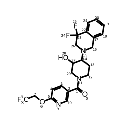 O=C(c1ccc(OCC(F)(F)F)nc1)N1CCC(N2Cc3ccccc3C(F)(F)C2)C(O)C1